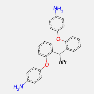 CCCC(c1ccccc1Oc1ccc(N)cc1)c1ccccc1Oc1ccc(N)cc1